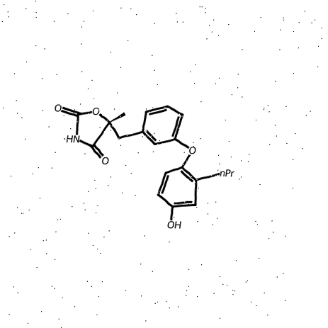 CCCc1cc(O)ccc1Oc1cccc(C[C@@]2(C)OC(=O)NC2=O)c1